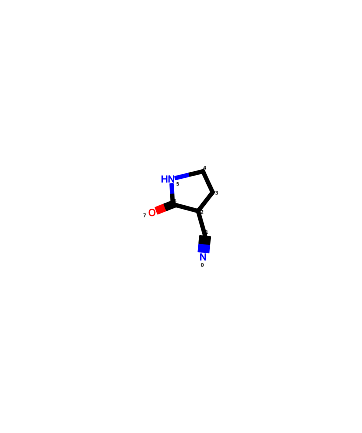 N#CC1[CH]CNC1=O